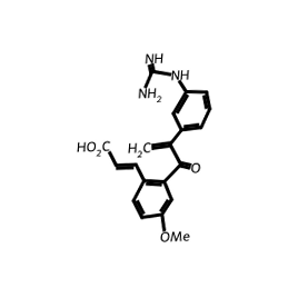 C=C(C(=O)c1cc(OC)ccc1C=CC(=O)O)c1cccc(NC(=N)N)c1